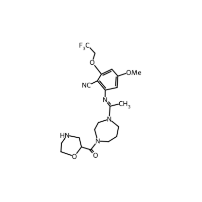 COc1cc(N=C(C)N2CCCN(C(=O)C3CNCCO3)CC2)c(C#N)c(OCC(F)(F)F)c1